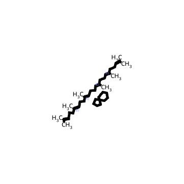 C1CCC2(CC1)CCCC2.CC(C)=CCC/C(C)=C/CC/C(C)=C/CC/C=C(\C)CC/C=C(\C)CCC=C(C)C